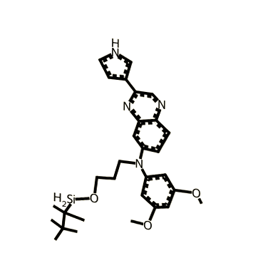 COc1cc(OC)cc(N(CCCO[SiH2]C(C)(C)C(C)(C)C)c2ccc3ncc(-c4cc[nH]c4)nc3c2)c1